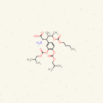 CCCCOC(=O)OC(C)C(C)C(c1ccc(OC(=O)OCC(C)C)c(OC(=O)OCC(C)C)c1)[C@H](N)C(=O)O